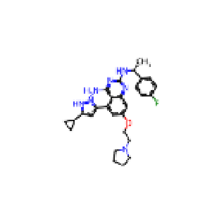 C[C@H](Nc1nc(N)c2c(-c3cc(C4CC4)[nH]n3)cc(OCCN3CCCC3)cc2n1)c1ccc(F)cc1